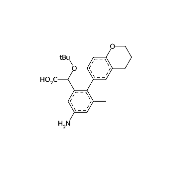 Cc1cc(N)cc(C(OC(C)(C)C)C(=O)O)c1-c1ccc2c(c1)CCCO2